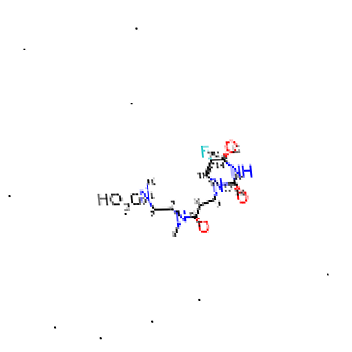 CN(CCN(C)C(=O)CCn1cc(F)c(=O)[nH]c1=O)C(=O)O